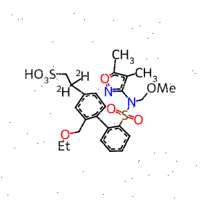 [2H]C([2H])(CS(=O)(=O)O)c1ccc(-c2ccccc2S(=O)(=O)N(COC)c2noc(C)c2C)c(COCC)c1